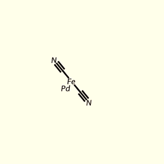 N#[C][Fe][C]#N.[Pd]